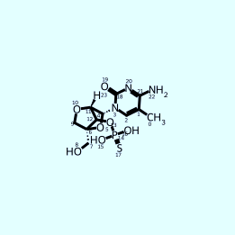 Cc1cn([C@@H]2O[C@@]3(CO)CO[C@H]2C3OP(O)(O)=S)c(=O)nc1N